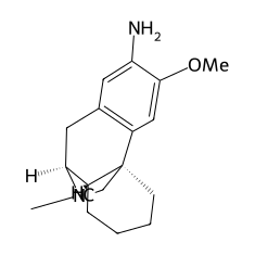 COc1cc2c(cc1N)C[C@H]1[C@H]3CCCC[C@@]23CCN1C